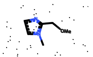 [CH2]OCc1nccn1C